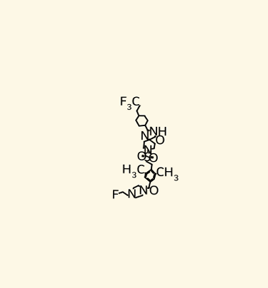 Cc1cc(C(=O)N2CCN(CCF)CC2)cc(C)c1CCS(=O)(=O)N1CCC2(CC1)N=C(C1CCC(CCC(F)(F)F)CC1)NC2=O